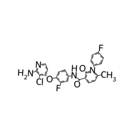 Cc1ccc(C(=O)Nc2ccc(Oc3ccnc(N)c3Cl)c(F)c2)c(=O)n1-c1ccc(F)cc1